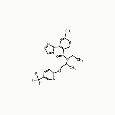 CCN(C(=O)c1ccc(C)nc1-n1nccn1)C(C)COc1ccc(C(F)(F)F)cn1